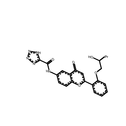 CC(C)C(O)COc1ccccc1-c1cc(=O)c2cc(NC(=O)c3nnn[nH]3)ccc2o1